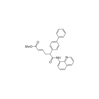 COC(=O)/C=C/CC(C(=O)Nc1cccc2cccnc12)c1ccc(-c2ccccc2)cc1